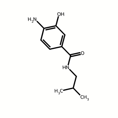 CC(C)CNC(=O)c1ccc(N)c(O)c1